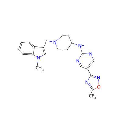 Cn1cc(CN2CCC(Nc3ncc(-c4noc(C(F)(F)F)n4)cn3)CC2)c2ccccc21